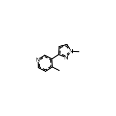 Cc1ccncc1-c1ccn(C)n1